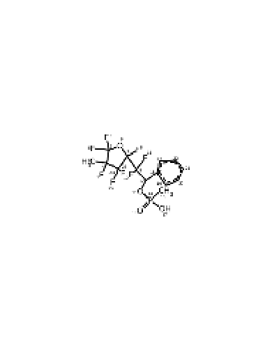 CC1(F)C(F)(F)OC(F)(C(F)(F)C(OP(C)(=O)O)c2ccccc2)C1(F)F